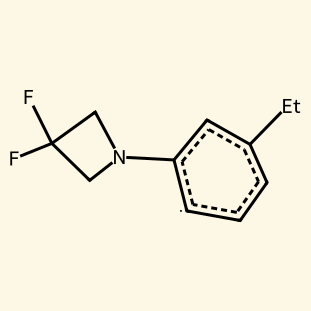 CCc1cc[c]c(N2CC(F)(F)C2)c1